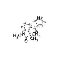 CN1C(=O)C(C)(C)c2c(C(=O)c3cccnc3)cccc21